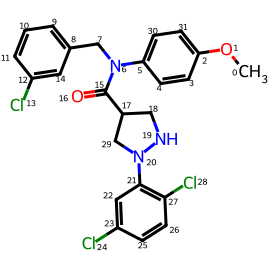 COc1ccc(N(Cc2cccc(Cl)c2)C(=O)C2CNN(c3cc(Cl)ccc3Cl)C2)cc1